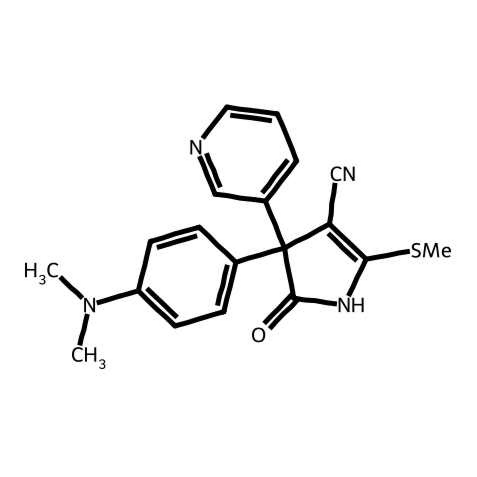 CSC1=C(C#N)C(c2ccc(N(C)C)cc2)(c2cccnc2)C(=O)N1